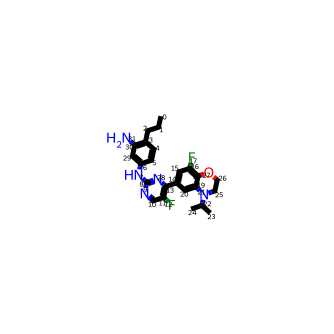 CCCc1ccc(Nc2ncc(F)c(-c3cc(F)c4c(c3)N(C(C)C)CCO4)n2)cc1N